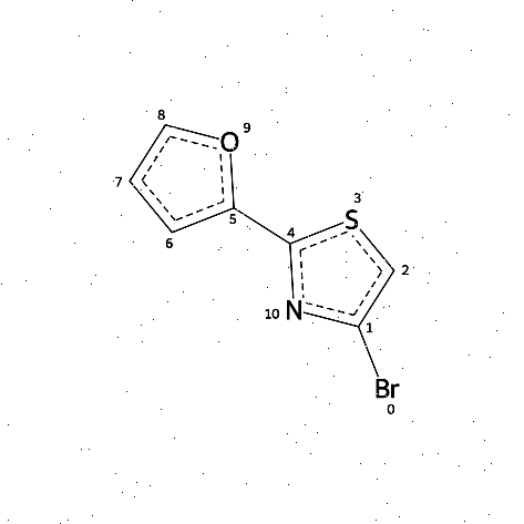 Brc1csc(-c2ccco2)n1